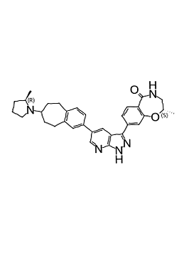 C[C@@H]1CCCN1C1CCc2ccc(-c3cnc4[nH]nc(-c5ccc6c(c5)O[C@@H](C)CNC6=O)c4c3)cc2CC1